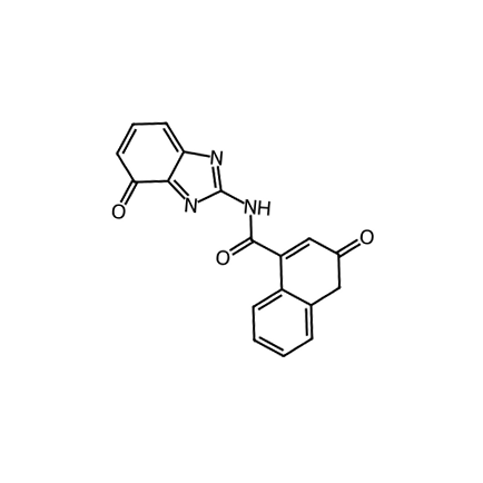 O=C1C=C(C(=O)NC2=NC3=CC=CC(=O)C3=N2)c2ccccc2C1